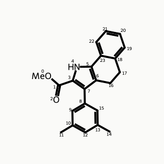 COC(=O)c1[nH]c2c(c1-c1cc(C)cc(C)c1)CCc1ccccc1-2